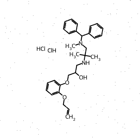 C=CCOc1ccccc1OCC(O)CNC(C)(C)CN(C)C(c1ccccc1)c1ccccc1.Cl.Cl